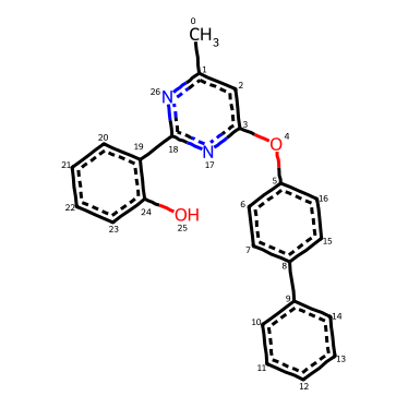 Cc1cc(Oc2ccc(-c3ccccc3)cc2)nc(-c2ccccc2O)n1